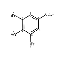 CC(C)c1cc(C(=O)O)cc(C(C)C)c1O